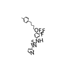 Cc1ccc(CCCCOc2ccc(Nc3nc(-c4cccnc4)cs3)cc2C(F)(F)F)cc1